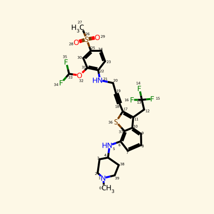 CN1CCC(Nc2cccc3c(CC(F)(F)F)c(C#CCNc4ccc(S(C)(=O)=O)cc4OC(F)F)sc23)CC1